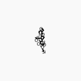 CC(=O)OCc1cc(Oc2nccc3occc23)ccc1-c1c(C)c(=O)n(COCC[Si](C)(C)C)c(=O)n1C